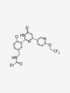 CCC(=O)NCc1ccc(Cl)c(-c2nc(-c3ccc(OCC(F)(F)F)nc3)cc(=O)[nH]2)c1